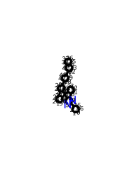 c1ccc(-c2ncc3c(n2)-c2ccccc2C32c3ccccc3-c3ccc(-c4ccc(-c5ccc6ccccc6c5)cc4)cc32)cc1